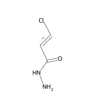 NNC(=O)/C=C/Cl